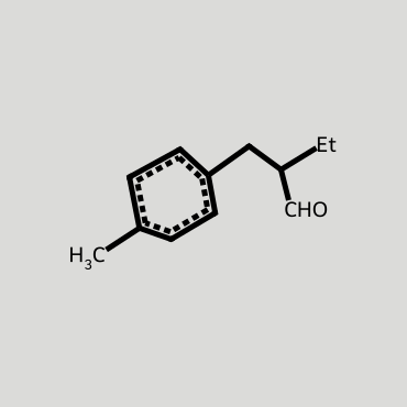 CCC(C=O)Cc1ccc(C)cc1